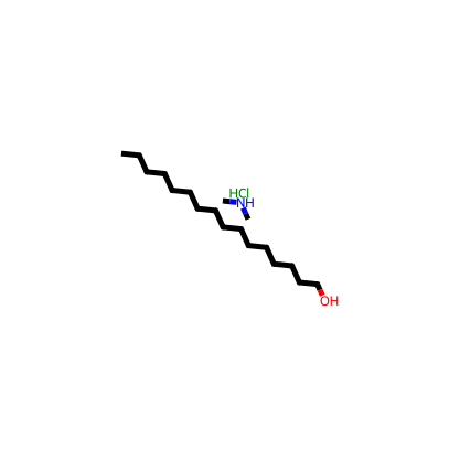 CCCCCCCCCCCCCCCCO.CNC.Cl